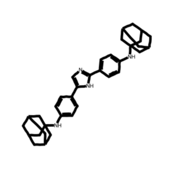 c1cc(-c2cnc(-c3ccc(NC45CC6CC(CC(C6)C4)C5)cc3)[nH]2)ccc1NC12CC3CC(CC(C3)C1)C2